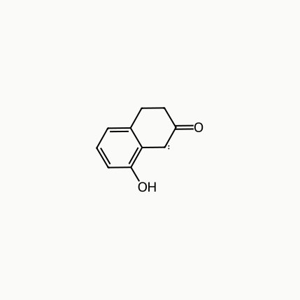 O=C1[C]c2c(O)cccc2CC1